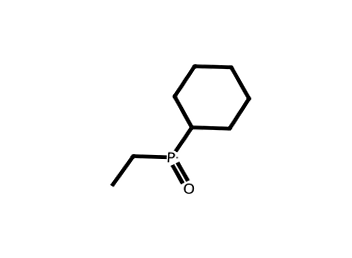 CC[P](=O)C1CCCCC1